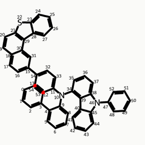 c1ccc(-c2ccccc2N(c2ccc(-c3ccc4ccc5sc6ccccc6c5c4c3)cc2)c2cccc3c2c2ccccc2n3-c2ccccc2)cc1